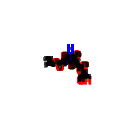 CCC(C)COC(=O)CCn1c(=O)[nH]c(=O)n(CCC(=O)OCC(C)CO)c1=O